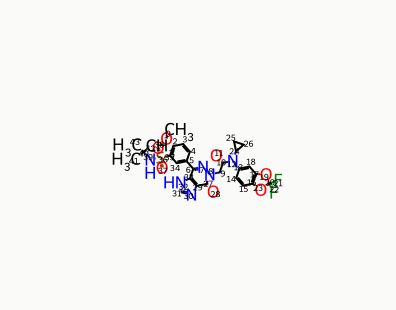 COc1ccc(-c2nn(CC(=O)N(c3ccc4c(c3)OC(F)(F)O4)C3CC3)c(=O)c3nc[nH]c23)cc1S(=O)(=O)NC(C)(C)C